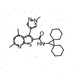 Cc1cc(C)c2c(-c3cnn(C)c3)c(C(=O)NC3C4(CCCCC4)C34CCCCC4)sc2n1